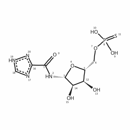 O=C(N[C@@H]1O[C@H](COP(O)(O)=S)[C@@H](O)[C@H]1O)c1nc[nH]n1